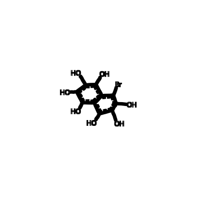 Oc1c(O)c(O)c2c(Br)c(O)c(O)c(O)c2c1O